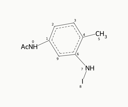 CC(=O)Nc1ccc(C)c(NI)c1